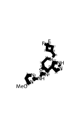 COc1ccnc(Nc2nc3c(s2)CCN(CC2CC(F)(F)C2)c2[nH]ncc2-3)n1